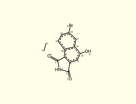 CC.O=C1NC(=O)c2c1cc(O)c1cc(Br)ccc21